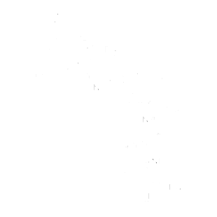 Cc1cc(C2=NOC(c3cc(Cl)cc(Cl)c3)(C(F)(F)F)C2)sc1C(=O)NCC(=O)NC(F)C(F)F